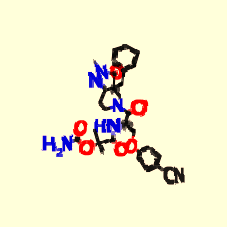 CN1N=C2CCN(C(=O)[C@@H](COc3ccc(C#N)cc3)NC(=O)C(C)(C)OC(N)=O)C[C@@]2(Cc2ccccc2)C1=O